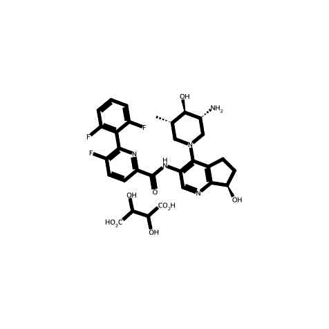 C[C@H]1CN(c2c(NC(=O)c3ccc(F)c(-c4c(F)cccc4F)n3)cnc3c2CC[C@H]3O)C[C@@H](N)[C@@H]1O.O=C(O)C(O)C(O)C(=O)O